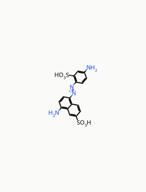 Nc1ccc(/N=N/c2ccc(N)c3cc(S(=O)(=O)O)ccc23)c(S(=O)(=O)O)c1